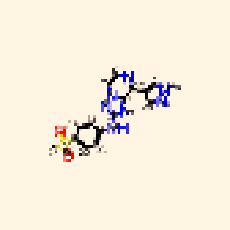 Cn1cc(-c2nccn3nc(Nc4ccc(S(C)(=O)=O)cc4)nc23)cn1